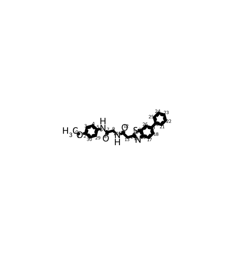 COc1ccc(NC(=O)CNC(=O)Cc2nc3ccc(-c4ccccc4)cc3s2)cc1